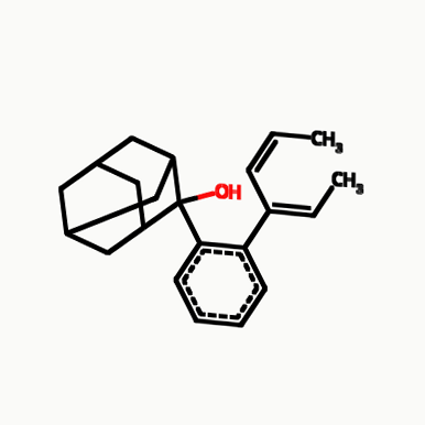 C/C=C\C(=C/C)c1ccccc1C1(O)C2CC3CC(C2)CC1C3